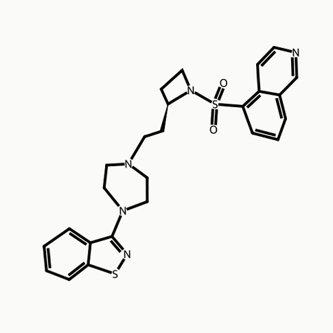 O=S(=O)(c1cccc2cnccc12)N1CC[C@@H]1CCN1CCN(c2nsc3ccccc23)CC1